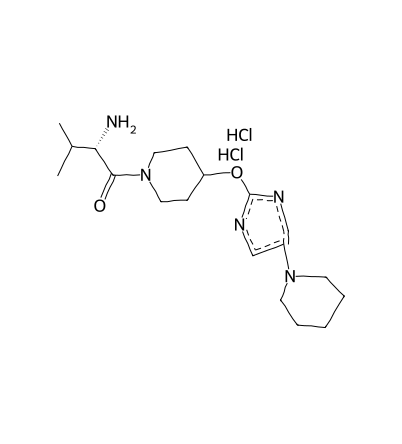 CC(C)[C@H](N)C(=O)N1CCC(Oc2ncc(N3CCCCC3)cn2)CC1.Cl.Cl